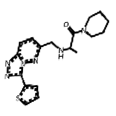 CC(NCc1ccc2nnc(-c3cccs3)n2n1)C(=O)N1CCCCC1